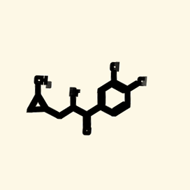 CC1CC1CC(Br)C(=O)c1ccc(Cl)c(Cl)c1